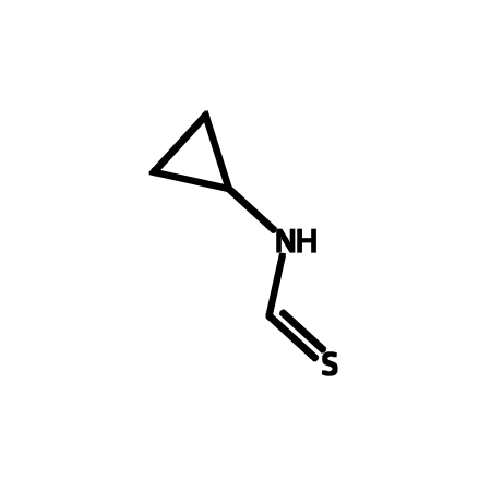 S=CNC1CC1